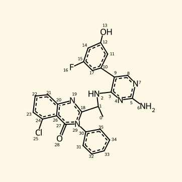 CC(Nc1nc(N)ncc1-c1cc(O)cc(F)c1)c1nc2cccc(Cl)c2c(=O)n1-c1ccccc1